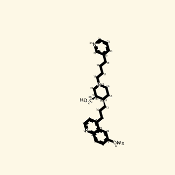 COc1ccc2nccc(CCC[C@@H]3CCN(CCCCc4cccnc4)C[C@@H]3C(=O)O)c2c1